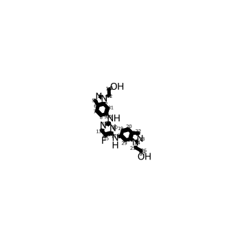 OCCn1ncc2ccc(Nc3ncc(F)c(Nc4ccc5cnn(CCO)c5c4)n3)cc21